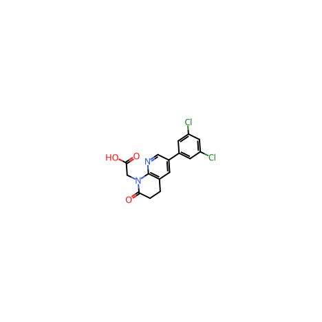 O=C(O)CN1C(=O)CCc2cc(-c3cc(Cl)cc(Cl)c3)cnc21